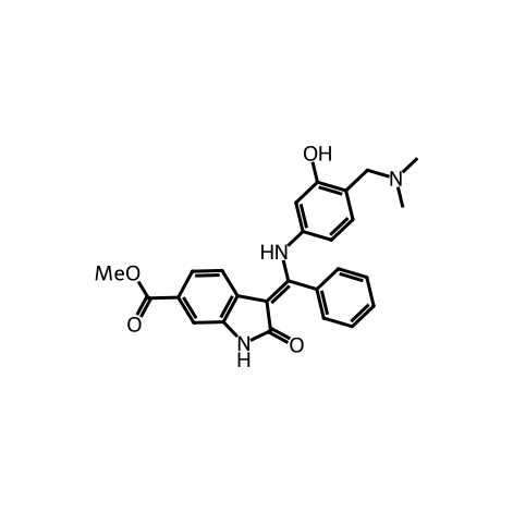 COC(=O)c1ccc2c(c1)NC(=O)C2=C(Nc1ccc(CN(C)C)c(O)c1)c1ccccc1